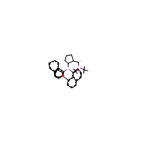 C[C@H](C1CCCC1P(c1cccc2ccccc12)c1cccc2cccc(C3CCCC3)c12)P(C(C)(C)C)C(C)(C)C